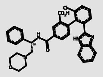 O=C(N[C@H](CN1CCOCC1)c1ccccc1)c1ccc(-c2c(Cl)cccc2-c2nc3ccccc3[nH]2)c(C(=O)O)c1